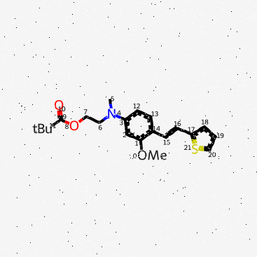 COc1cc(N(C)CCOC(=O)C(C)(C)C)ccc1C=Cc1cccs1